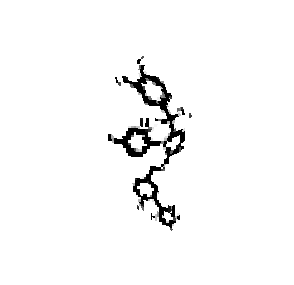 CC(C)(c1ccc(Cl)c(Cl)c1)c1cnc(SCc2ccc(Cl)c(-c3nnn[nH]3)c2)n1-c1ccc(F)cc1